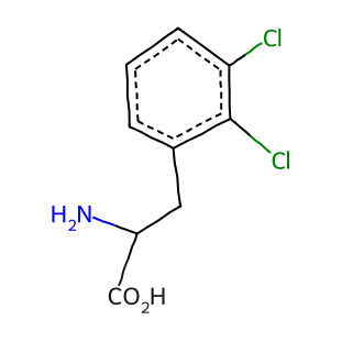 NC(Cc1cccc(Cl)c1Cl)C(=O)O